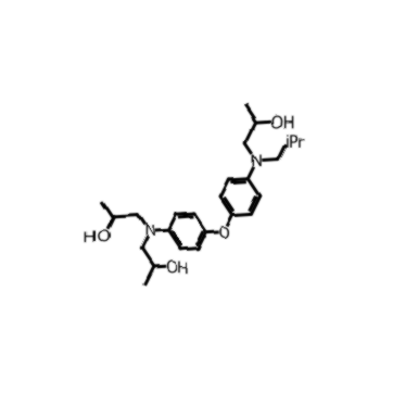 CC(C)CN(CC(C)O)c1ccc(Oc2ccc(N(CC(C)O)CC(C)O)cc2)cc1